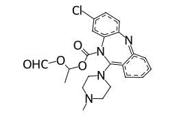 CC(OC=O)OC(=O)N1C(N2CCN(C)CC2)=c2ccccc2=Nc2ccc(Cl)cc21